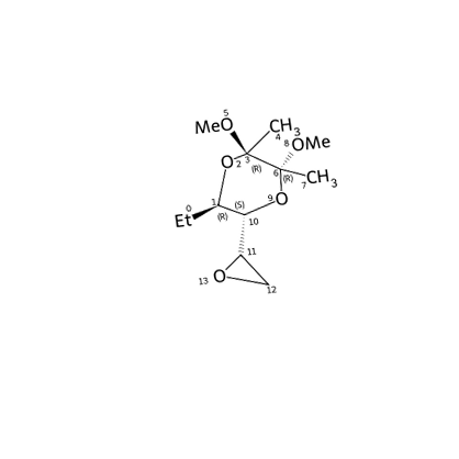 CC[C@H]1O[C@@](C)(OC)[C@](C)(OC)O[C@@H]1C1CO1